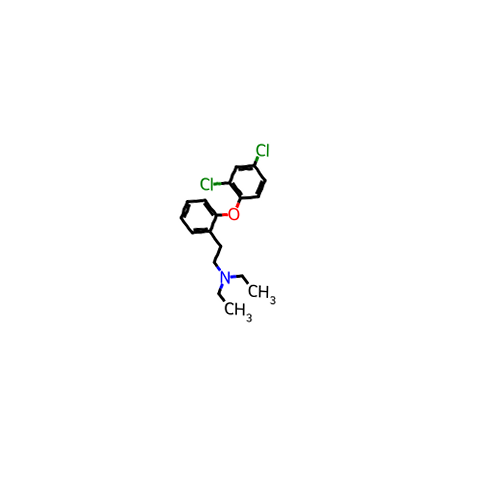 CCN(CC)CCc1ccccc1Oc1ccc(Cl)cc1Cl